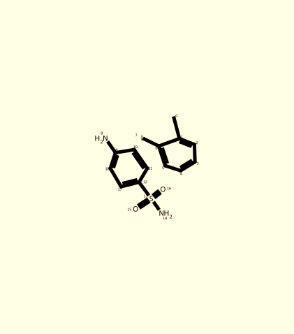 Cc1ccccc1I.Nc1ccc(S(N)(=O)=O)cc1